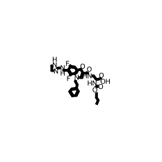 CCCCOC(=O)NC(CNC(=O)c1cn(CCc2ccccc2)c2c(F)c(CNC3=NCCN3)c(F)cc2c1=O)C(=O)O